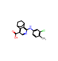 Cc1ccc(Nc2ncc(C(=O)O)c3c2C2CCC3CC2)cc1Cl